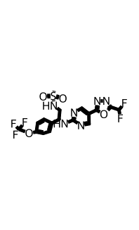 CS(=O)(=O)NCC(Nc1ncc(-c2nnc(C(F)F)o2)cn1)c1ccc(OC(F)(F)F)cc1